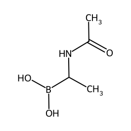 CC(=O)NC(C)B(O)O